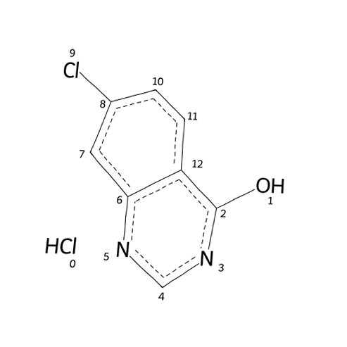 Cl.Oc1ncnc2cc(Cl)ccc12